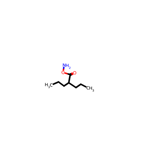 CCCC(CCC)C(=O)ON